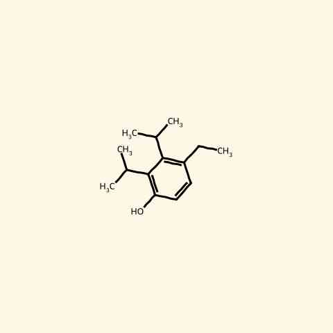 CCc1ccc(O)c(C(C)C)c1C(C)C